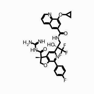 C[C@]1(C(=O)NC(=N)N)COc2c1cc([C@@](O)(CNC(=O)c1cc(OC3CC3)c3ncccc3c1)C(F)(F)F)nc2-c1ccc(F)cc1